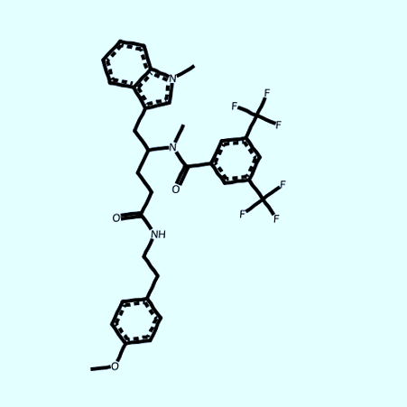 COc1ccc(CCNC(=O)CCC(Cc2cn(C)c3ccccc23)N(C)C(=O)c2cc(C(F)(F)F)cc(C(F)(F)F)c2)cc1